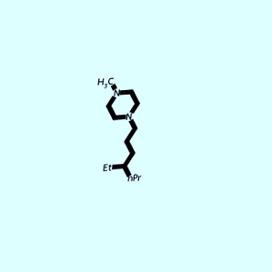 CCCC(CC)CCCN1CCN(C)CC1